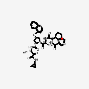 CCC[C@H](NC(=O)[C@@H]1C[C@@H](Oc2ccnc3ccccc23)CN1C(=O)[C@@H](NC(=O)[C@@H](NC(=O)c1cnccn1)C1CCCCC1)C(C)(C)C)C(=O)C(=O)NC1CC1